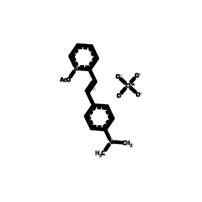 CC(=O)O[n+]1ccccc1/C=C/c1ccc(N(C)C)cc1.[O-][Cl+3]([O-])([O-])[O-]